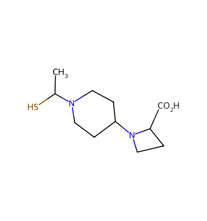 CC(S)N1CCC(N2CCC2C(=O)O)CC1